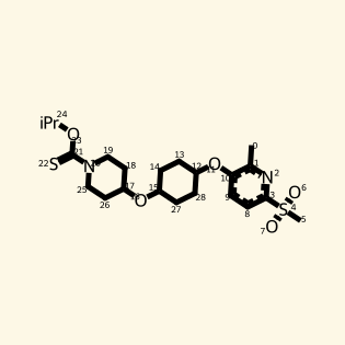 Cc1nc(S(C)(=O)=O)ccc1OC1CCC(OC2CCN(C(=S)OC(C)C)CC2)CC1